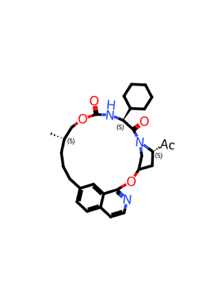 CC(=O)[C@@H]1CC2CN1C(=O)[C@H](C1CCCCC1)NC(=O)OC[C@@H](C)CCCc1ccc3ccnc(c3c1)O2